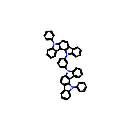 C1=CC2C(c3ccccc3N2c2ccccc2)c2c1c1ccccc1n2-c1cccc(-n2c3ccccc3c3c2ccc2c4ccccc4n(-c4ccccc4)c23)c1